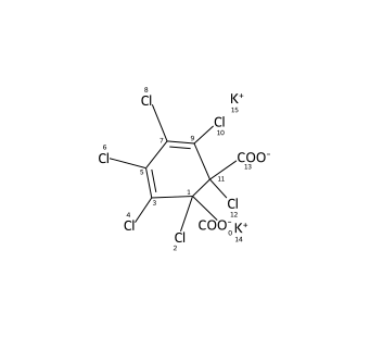 O=C([O-])C1(Cl)C(Cl)=C(Cl)C(Cl)=C(Cl)C1(Cl)C(=O)[O-].[K+].[K+]